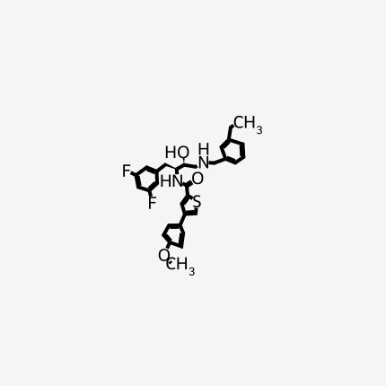 CCc1cccc(CNC[C@@H](O)[C@H](Cc2cc(F)cc(F)c2)NC(=O)c2cc(-c3ccc(OC)cc3)cs2)c1